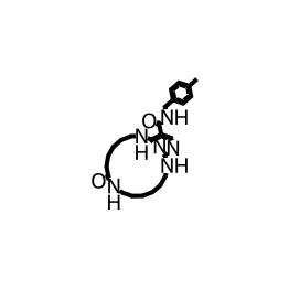 Cc1ccc(CNC(=O)c2cnc3nc2NCCCCCC(=O)NCCCCCCN3)cc1